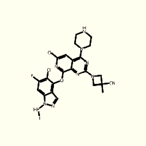 CC1(C#N)CN(c2nc(N3CCNCC3)c3cc(Cl)nc(Oc4c(Cl)c(F)cc5c4cnn5PI)c3n2)C1